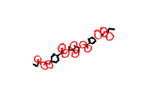 C=CC(=O)OCOc1ccc(C(=O)O[C@H]2COC3C2OC[C@H]3OC(=O)c2ccc(OCOC(=O)C=C)cc2)cc1